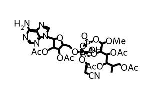 COC(OP(=O)(O)OP(=S)(OCCC#N)OCC1OC(n2cnc3c(N)ncnc32)C(OC(C)=O)C1OC(C)=O)C(OC(C)=O)C(OC(C)=O)C(OC(C)=O)C(C)COC(C)=O